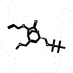 C=CCON1C(=O)N2CC1C(COC)=C[C@H]2CO[Si](C)(C)C(C)(C)C